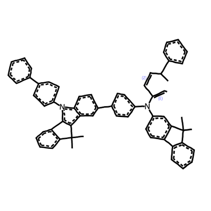 C/C=C(\C=C/C(C)c1ccccc1)N(c1ccc(-c2ccc3c(c2)c2c(n3-c3ccc(-c4ccccc4)cc3)-c3ccccc3C2(C)C)cc1)c1ccc2c(c1)C(C)(C)c1ccccc1-2